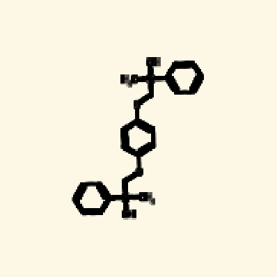 C[Si](O)(COc1ccc(OC[Si](C)(O)c2ccccc2)cc1)c1ccccc1